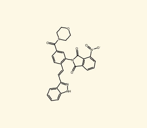 O=C(c1ccc(C=Cc2n[nH]c3ccccc23)c(N2C(=O)c3cccc([N+](=O)[O-])c3C2=O)c1)N1CCOCC1